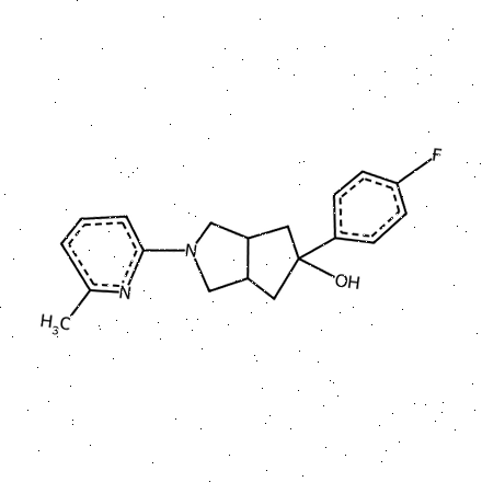 Cc1cccc(N2CC3CC(O)(c4ccc(F)cc4)CC3C2)n1